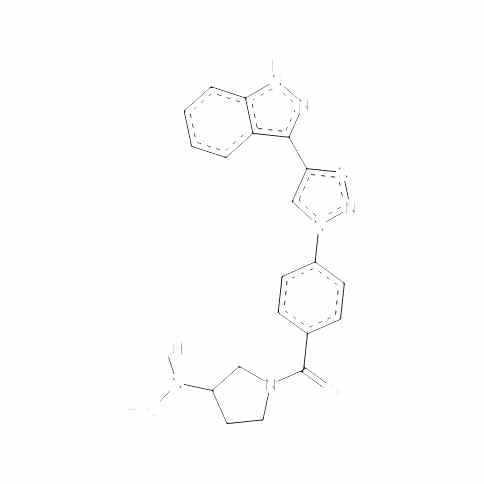 CN(C)C1CCN(C(=O)c2ccc(-n3cc(-c4n[nH]c5ccccc45)nn3)cc2)C1